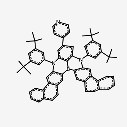 CC(C)(C)c1cc(N2c3cc4c(ccc5ccccc54)cc3B3c4cc5ccc6ccccc6c5cc4N(c4cc(C(C)(C)C)cc(C(C)(C)C)c4)c4cc(-c5ccncc5)cc2c43)cc(C(C)(C)C)c1